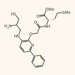 COC(=O)[C@H](CCSC)NC(=O)COc1nc(-c2ccccc2)ccc1NCC(N)CS